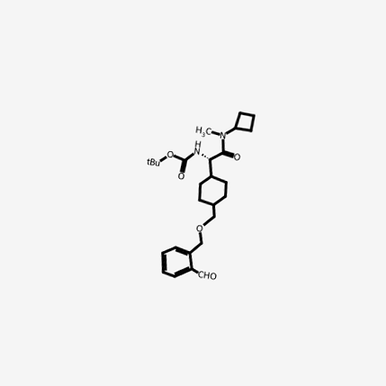 CN(C(=O)[C@@H](NC(=O)OC(C)(C)C)C1CCC(COCc2ccccc2C=O)CC1)C1CCC1